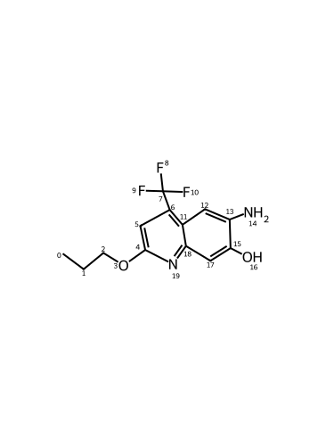 CCCOc1cc(C(F)(F)F)c2cc(N)c(O)cc2n1